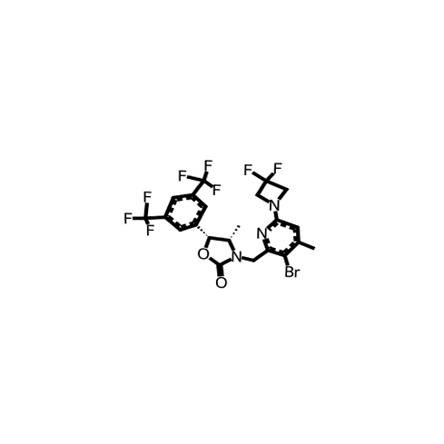 Cc1cc(N2CC(F)(F)C2)nc(CN2C(=O)O[C@H](c3cc(C(F)(F)F)cc(C(F)(F)F)c3)[C@@H]2C)c1Br